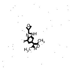 Cc1noc(C)c1-c1cc(I)c2nc(C3COC3)[nH]c2c1